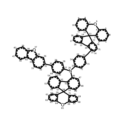 c1ccc2c(c1)Oc1ccccc1C21c2ccccc2-c2c(-c3ccc(N(c4ccc(-c5ccc6c(c5)oc5ccccc56)cc4)c4cccc5c4-c4ccccc4C54c5ccccc5Oc5ccccc54)cc3)cccc21